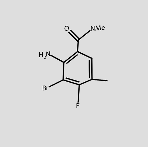 CNC(=O)c1cc(C)c(F)c(Br)c1N